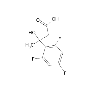 CC(O)(CC(=O)O)c1c(F)cc(F)cc1F